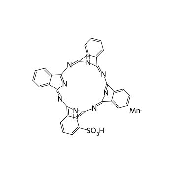 O=S(=O)(O)c1cccc2c3nc4nc(nc5[nH]c(nc6nc(nc([nH]3)c12)-c1ccccc1-6)c1ccccc51)-c1ccccc1-4.[Mn]